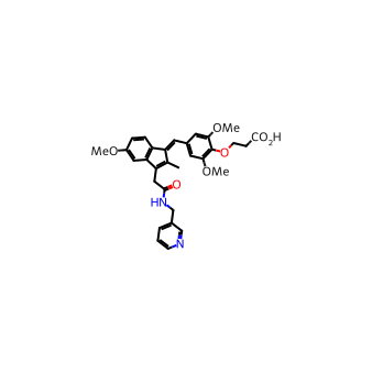 COc1ccc2c(c1)C(CC(=O)NCc1cccnc1)=C(C)C2=Cc1cc(OC)c(OCCC(=O)O)c(OC)c1